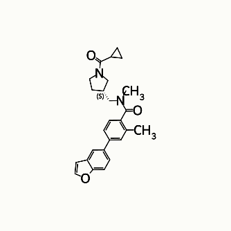 Cc1cc(-c2ccc3occc3c2)ccc1C(=O)N(C)C[C@@H]1CCN(C(=O)C2CC2)C1